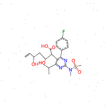 C=CC(O)CC(O)C(C(=O)O)c1c(-c2ccc(F)cc2)nc(N(C)S(C)(=O)=O)nc1C(C)C